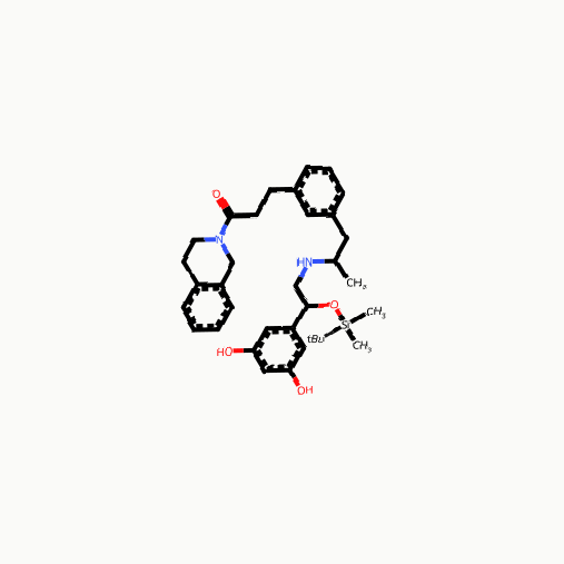 CC(Cc1cccc(CCC(=O)N2CCc3ccccc3C2)c1)NCC(O[Si](C)(C)C(C)(C)C)c1cc(O)cc(O)c1